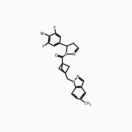 Cc1ccc2c(cnn2CC23CC(C(=O)N4N=CCC4c4cc(F)c(Br)c(F)c4)(C2)C3)c1